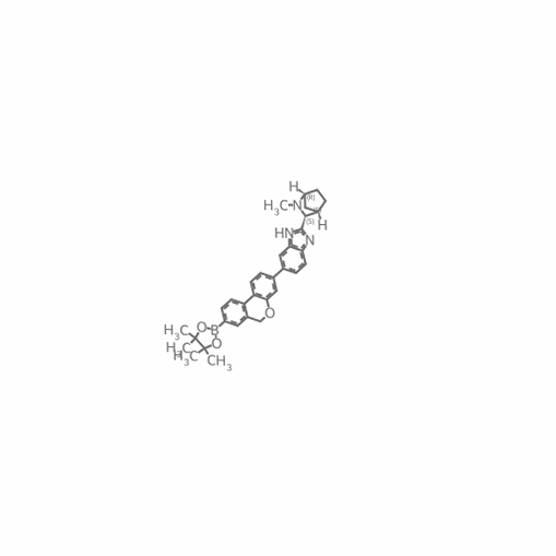 CN1[C@@H]2CC[C@@H](C2)[C@H]1c1nc2ccc(-c3ccc4c(c3)OCc3cc(B5OC(C)(C)C(C)(C)O5)ccc3-4)cc2[nH]1